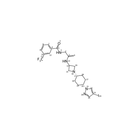 C=C(CNC(=O)c1cccc(C(F)(F)F)c1)NC1CN([C@H]2CC[C@@H](n3cc(I)cn3)CC2)C1